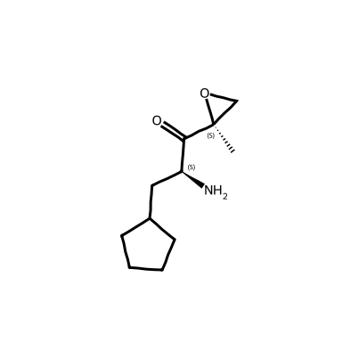 C[C@@]1(C(=O)[C@@H](N)CC2CCCC2)CO1